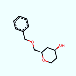 O[C@H]1CCO[C@@H](COCc2ccccc2)C1